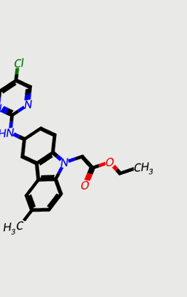 CCOC(=O)Cn1c2c(c3cc(C)ccc31)CC(Nc1ncc(Cl)cn1)CC2